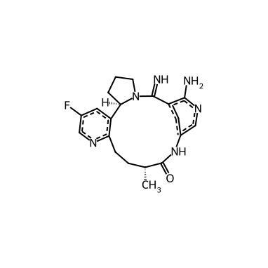 C[C@@H]1CCc2ncc(F)cc2[C@H]2CCCN2C(=N)c2cc(cnc2N)NC1=O